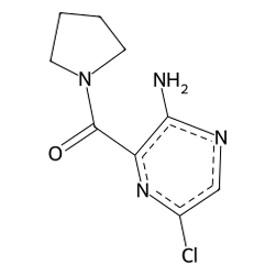 Nc1ncc(Cl)nc1C(=O)N1CCCC1